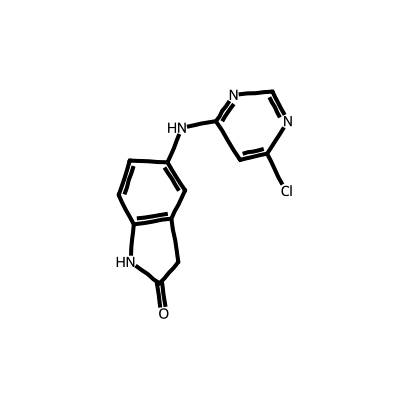 O=C1Cc2cc(Nc3cc(Cl)ncn3)ccc2N1